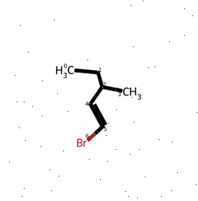 CCC(C)C=CBr